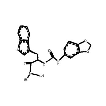 CCN(C#N)C(=O)C(Cc1csc2ccccc12)NC(=O)Nc1ccc2c(c1)OCO2